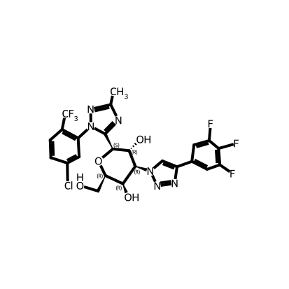 Cc1nc([C@@H]2O[C@H](CO)[C@H](O)[C@H](n3cc(-c4cc(F)c(F)c(F)c4)nn3)[C@H]2O)n(-c2cc(Cl)ccc2C(F)(F)F)n1